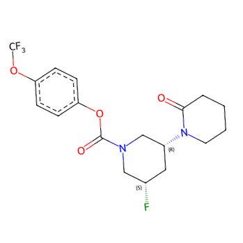 O=C(Oc1ccc(OC(F)(F)F)cc1)N1C[C@@H](F)C[C@@H](N2CCCCC2=O)C1